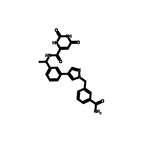 CC(NC(=O)c1cc(=O)[nH]c(=O)[nH]1)c1cccc(-c2cnn(Cc3cccc(C(N)=O)c3)c2)c1